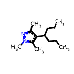 CCCC(CCC)c1c(C)nn(C)c1C